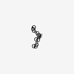 C=CC(=O)OCOc1ccc(OCOc2ccc(OC(=O)c3ccc(OCOC(=O)C=C)cc3)c(C)c2C(F)(F)F)cc1